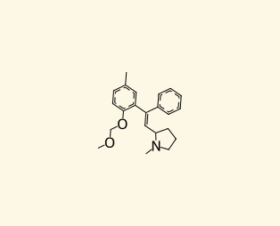 COCOc1ccc(C)cc1C(=CC1CCCN1C)c1ccccc1